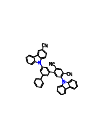 N#Cc1ccc2c(c1)c1ccccc1n2-c1cc(-c2ccccc2)cc(-c2cc(-n3c4ccccc4c4ccccc43)c(C#N)cc2C#N)c1